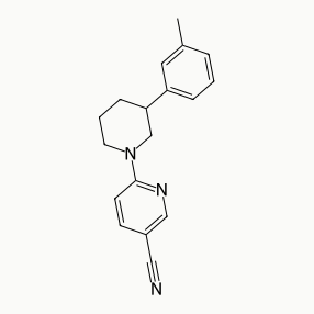 Cc1cccc(C2CCCN(c3ccc(C#N)cn3)C2)c1